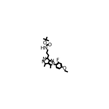 CCOc1ccc(-n2nc3c(CCCNC(=O)OC(C)(C)C)nnc(C)c3c2C)c(F)c1